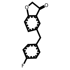 O=C1COc2ccc(Cc3ccc(F)cc3)cc21